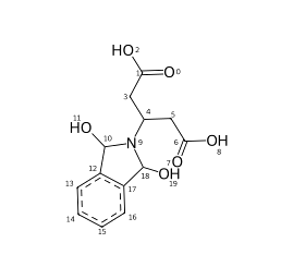 O=C(O)CC(CC(=O)O)N1C(O)c2ccccc2C1O